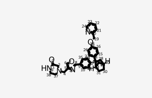 O=C1CN(Cc2coc(-c3ccc([C@]4(c5ccc(OCc6ccccn6)cc5)C[C@@H]5CC[C@H]4C5)cc3)n2)CCN1